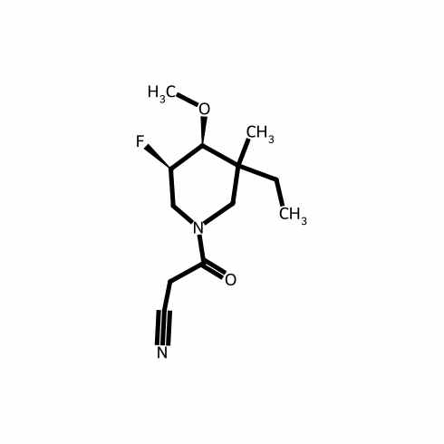 CCC1(C)CN(C(=O)CC#N)C[C@@H](F)[C@H]1OC